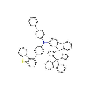 c1ccc(-c2ccc(N(c3ccc(-c4cccc5sc6ccccc6c45)cc3)c3ccc4c(c3)C3(c5ccccc5-4)c4ccccc4C(c4ccccc4)(c4ccccc4)c4ccccc43)cc2)cc1